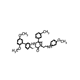 COc1ccc(NCCNC(=O)[C@H](Cc2ccc(-c3cc(OC)ccc3OC)cc2)NC(=O)c2cccc(C)c2)cc1